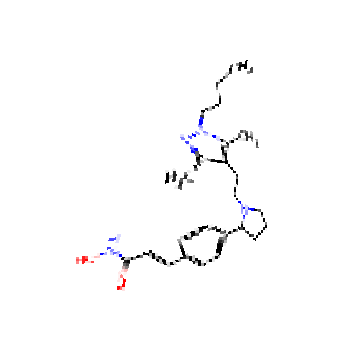 CCCCn1nc(C)c(CCN2CCCC2c2ccc(C=CC(=O)NO)cc2)c1C